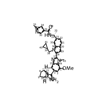 COc1cc(C(=O)N2[C@H]3CC[C@@H]2[C@H](N)C3)cc2nc(-c3cc4ccc([C@@H](C)NC(=O)c5cnn(C)c5)cc4n3CC3CC3)n(C)c12